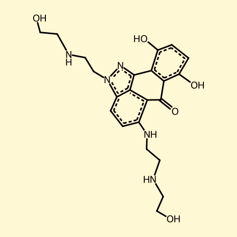 O=C1c2c(O)ccc(O)c2-c2nn(CCNCCO)c3ccc(NCCNCCO)c1c23